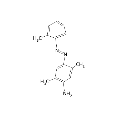 Cc1cc(N=Nc2ccccc2C)c(C)cc1N